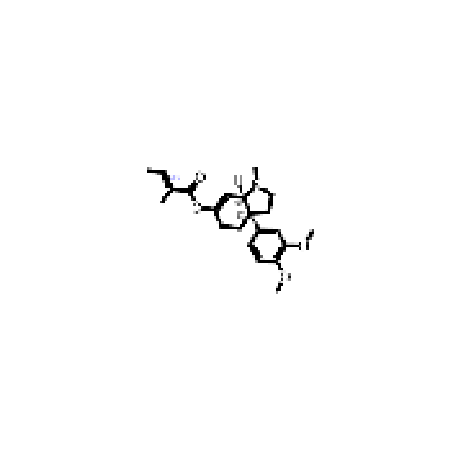 C/C=C(\C)C(=O)OC1=C[C@@H]2N(C)CC[C@]2(c2ccc(OC)c(OC)c2)CC1